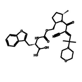 C[C@H]1CC[C@H](COC(=O)N[C@@H](Cc2coc3ccccc23)B(O)O)N1C(=O)/C(C#N)=C/C(C)(C)N1CCOCC1